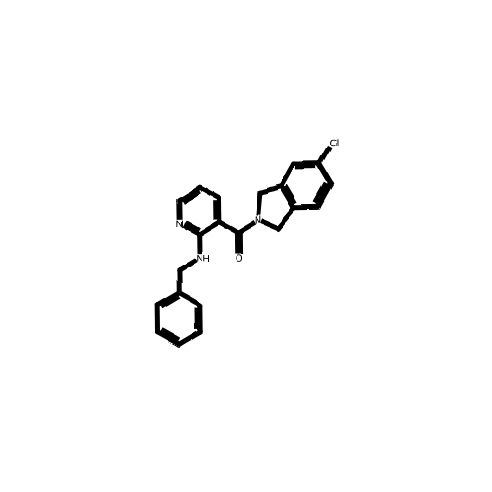 O=C(c1cccnc1NCc1ccccc1)N1Cc2ccc(Cl)cc2C1